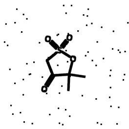 CC1(C)OS(=O)(=O)CC1=O